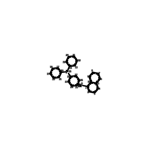 Brc1cccc2ccccc12.c1ccc(P(c2ccccc2)c2ccccc2)cc1